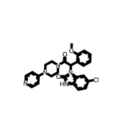 COc1ccccc1C(C(=O)N1CCN(c2ccncc2)CC1)n1c(=O)[nH]c2ccc(Cl)cc21